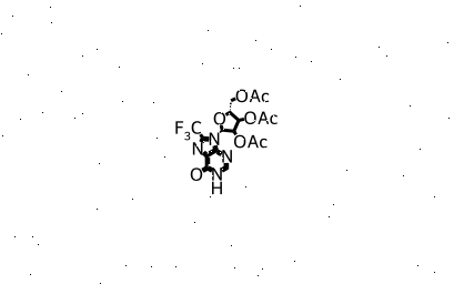 CC(=O)OC[C@H]1O[C@@H](n2c(C(F)(F)F)nc3c(=O)[nH]cnc32)C(OC(C)=O)C1OC(C)=O